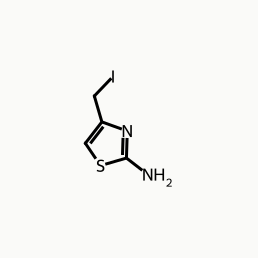 Nc1nc(CI)cs1